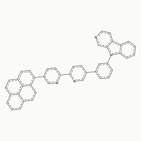 c1cc(-c2ccc(-c3ccc(-c4ccc5ccc6cccc7ccc4c5c67)cn3)nc2)cc(-n2c3ccccc3c3ccncc32)c1